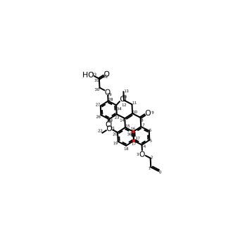 C=CCOc1ccc(C(=O)C(CCC)=C(c2ccccc2OC)c2c(Cl)ccc(OCC(=O)O)c2Cl)cc1